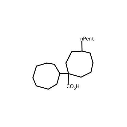 CCCCCC1CCCCC(C(=O)O)(C2CCCCCCC2)CC1